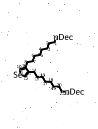 CCCCCCCCCCCCCCCCCCc1c[se]cc1CCCCCCCCCCCCCCCCCC